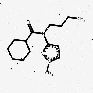 CCCCN(C(=O)C1CCCCC1)c1ccn(C)n1